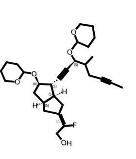 CC#CCC(C)[C@@H](C#C[C@@H]1[C@H]2C/C(=C(\F)CO)C[C@H]2C[C@H]1OC1CCCCO1)OC1CCCCO1